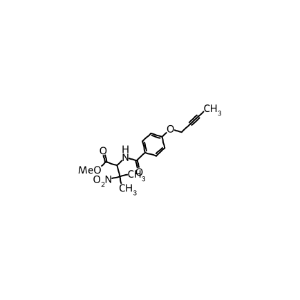 CC#CCOc1ccc(C(=O)NC(C(=O)OC)C(C)(C)[N+](=O)[O-])cc1